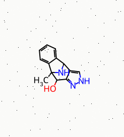 CC12NC(c3ccccc31)c1c[nH]nc1C2O